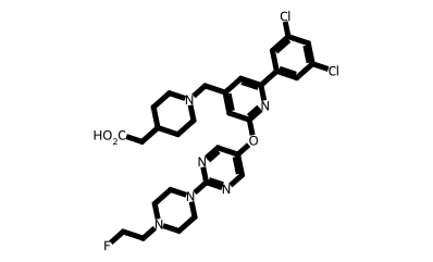 O=C(O)CC1CCN(Cc2cc(Oc3cnc(N4CCN(CCF)CC4)nc3)nc(-c3cc(Cl)cc(Cl)c3)c2)CC1